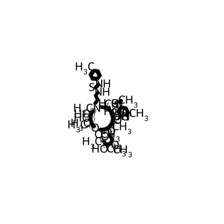 CC[C@H]1OC(=O)[C@H](C)[C@@H](O[C@H]2C[C@@](C)(OC)[C@@H](O)[C@H](C)O2)[C@H](C)[C@@H](O[C@@H]2O[C@H](C)C[C@H](N(C)C)[C@H]2O)[C@](C)(O)C[C@@H](C)CN(CCCNC(=S)Nc2ccc(C)cc2)[C@H](C)[C@@H](O)[C@]1(C)O